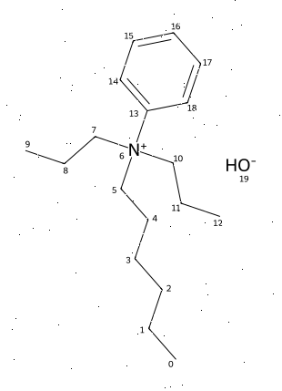 CCCCCC[N+](CCC)(CCC)c1ccccc1.[OH-]